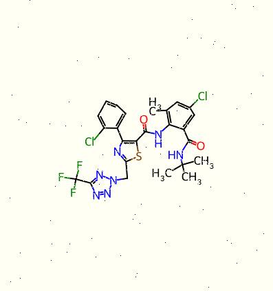 Cc1cc(Cl)cc(C(=O)NC(C)(C)C)c1NC(=O)c1sc(Cn2nnc(C(F)(F)F)n2)nc1-c1ccccc1Cl